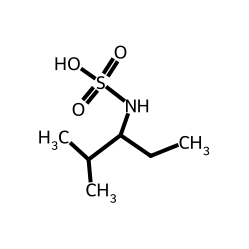 CCC(NS(=O)(=O)O)C(C)C